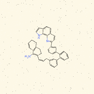 NC1=C(/C=C\Cc2cccc(-c3ccccc3-c3cccc(-c4ccc5ccc6cc[nH]c6c5n4)c3)c2)CCC2=C1C=CCC2